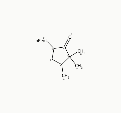 CCCCCC1CC(C)C(C)(C)C1=O